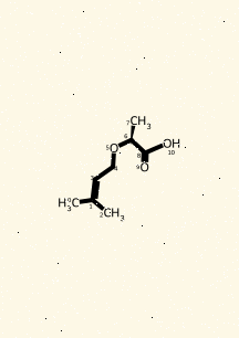 CC(C)=CCO[C@@H](C)C(=O)O